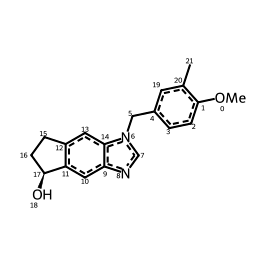 COc1ccc(Cn2cnc3cc4c(cc32)CC[C@@H]4O)cc1C